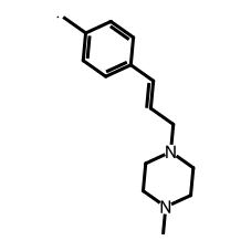 [CH2]c1ccc(C=CCN2CCN(C)CC2)cc1